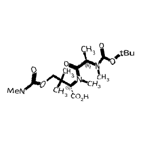 CNC(=O)OCC(C)(C)[C@@H](C(=O)O)N(C)C(=O)[C@@H](C)N(C)C(=O)OC(C)(C)C